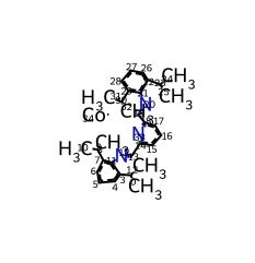 CC(C)c1cccc(C(C)C)c1N=Cc1cccc(C=Nc2c(C(C)C)cccc2C(C)C)n1.[Co]